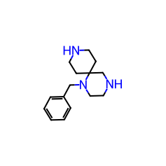 c1ccc(CN2CCNCC23CCNCC3)cc1